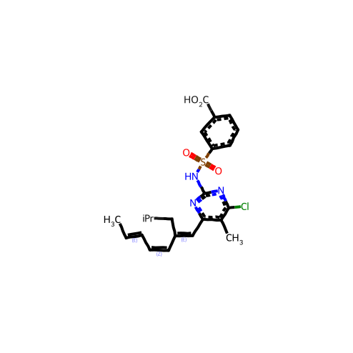 C/C=C/C=C\C(=C\c1nc(NS(=O)(=O)c2cccc(C(=O)O)c2)nc(Cl)c1C)CC(C)C